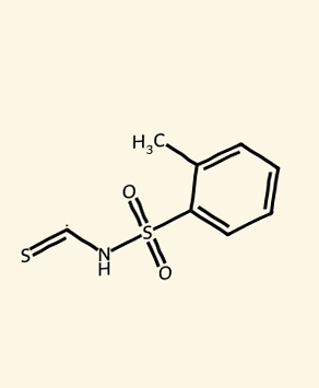 Cc1ccccc1S(=O)(=O)N[C]=S